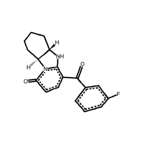 O=C(c1cccc(F)c1)c1ccc(=O)n2c1N[C@H]1CCCC[C@@H]12